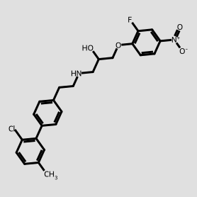 Cc1ccc(Cl)c(-c2ccc(CCNCC(O)COc3ccc([N+](=O)[O-])cc3F)cc2)c1